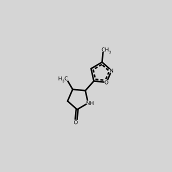 Cc1cc(C2NC(=O)CC2C)on1